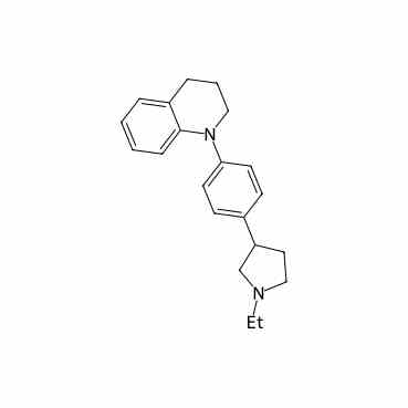 CCN1CCC(c2ccc(N3CCCc4ccccc43)cc2)C1